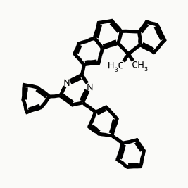 CC1(C)c2ccccc2-c2ccc3ccc(-c4nc(-c5ccccc5)cc(-c5ccc(-c6ccccc6)cc5)n4)cc3c21